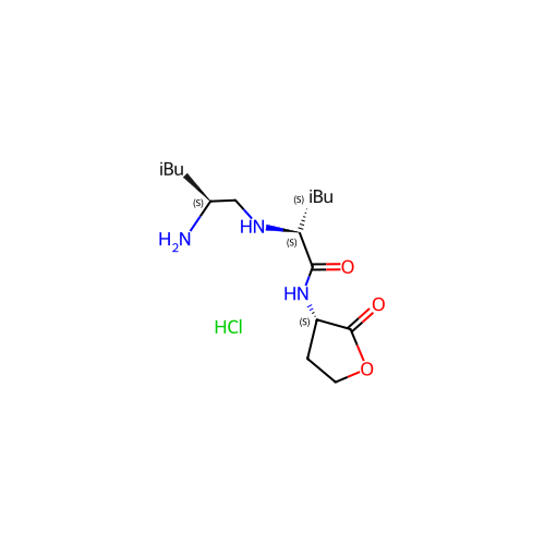 CCC(C)[C@H](N)CN[C@H](C(=O)N[C@H]1CCOC1=O)[C@@H](C)CC.Cl